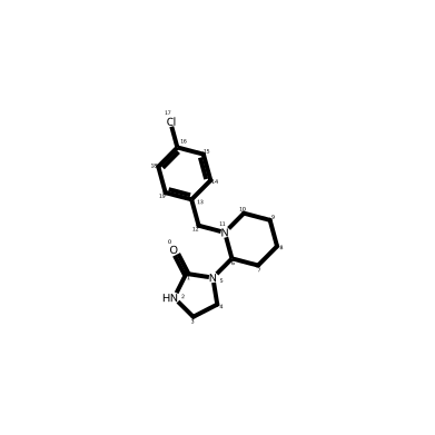 O=C1NCCN1C1CCCCN1Cc1ccc(Cl)cc1